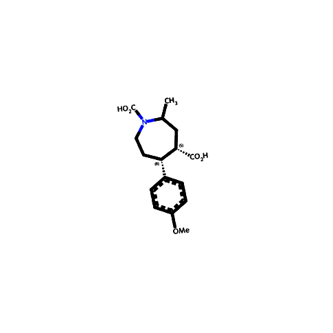 COc1ccc([C@@H]2CCN(C(=O)O)C(C)C[C@@H]2C(=O)O)cc1